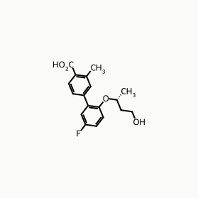 Cc1cc(-c2cc(F)ccc2O[C@H](C)CCO)ccc1C(=O)O